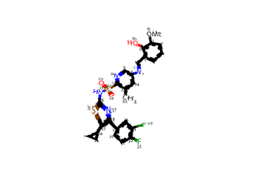 COc1cccc(/C=N/c2cnc(S(=O)(=O)Nc3nc(-c4ccc(F)c(F)c4)c(C4CC4)s3)c(C)c2)c1O